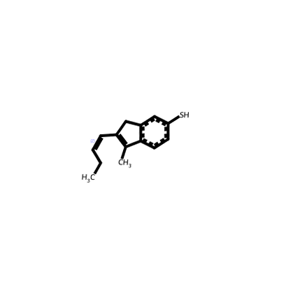 CC/C=C\C1=C(C)c2ccc(S)cc2C1